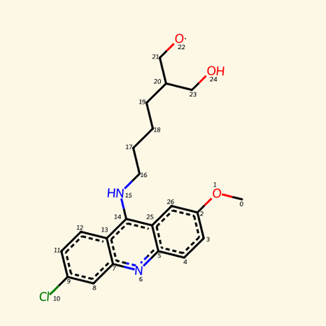 COc1ccc2nc3cc(Cl)ccc3c(NCCCCC(C[O])CO)c2c1